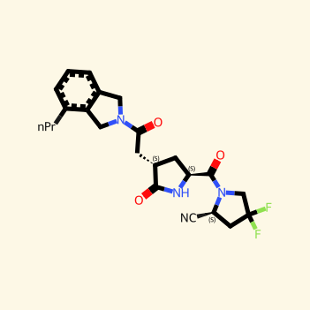 CCCc1cccc2c1CN(C(=O)C[C@@H]1C[C@@H](C(=O)N3CC(F)(F)C[C@H]3C#N)NC1=O)C2